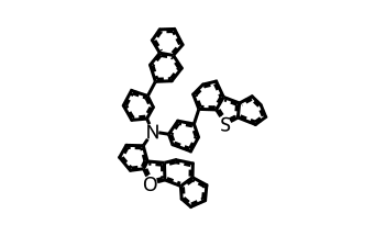 c1cc(-c2ccc3ccccc3c2)cc(N(c2cccc(-c3cccc4c3sc3ccccc34)c2)c2cccc3oc4c5ccccc5ccc4c23)c1